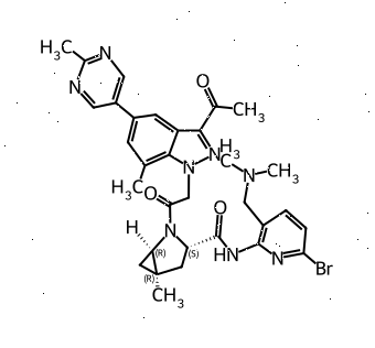 CC(=O)c1nn(CC(=O)N2[C@H](C(=O)Nc3nc(Br)ccc3CN(C)C)C[C@@]3(C)C[C@@H]23)c2c(C)cc(-c3cnc(C)nc3)cc12